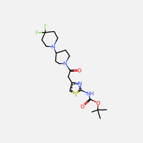 CC(C)(C)OC(=O)Nc1nc(CC(=O)N2CCC(N3CCC(F)(F)CC3)CC2)cs1